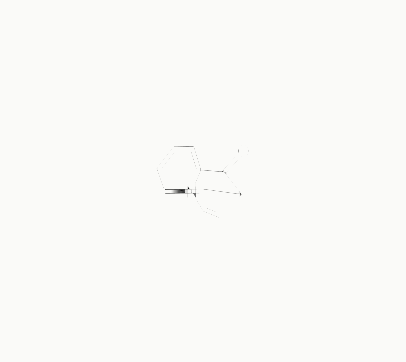 O=C1C2=CC=CC3=CC1C=CN32